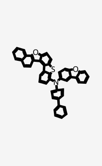 c1ccc(-c2ccc(N(c3ccc4oc5ccccc5c4c3)c3cccc4c3sc3ccc5oc6c7ccccc7ccc6c5c34)cc2)cc1